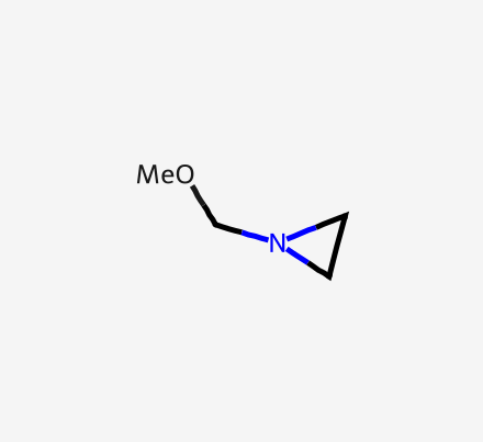 COCN1CC1